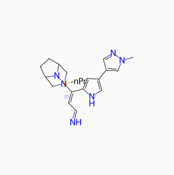 CCCSN1C2CCC1CN(/C(=C/C=N)c1cc(-c3cnn(C)c3)c[nH]1)C2